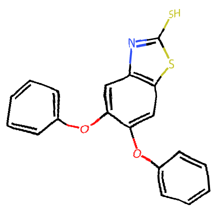 Sc1nc2cc(Oc3ccccc3)c(Oc3ccccc3)cc2s1